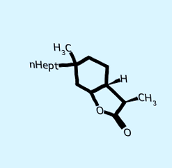 CCCCCCCC1(C)CC[C@H]2C(C1)OC(=O)[C@@H]2C